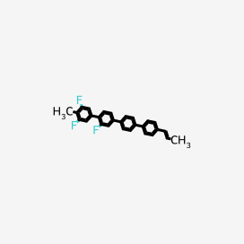 C/C=C/c1ccc(-c2ccc(-c3ccc(-c4cc(F)c(C)c(F)c4)c(F)c3)cc2)cc1